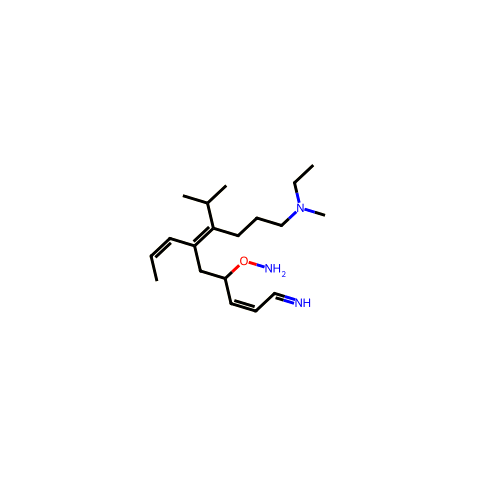 C/C=C\C(CC(/C=C\C=N)ON)=C(\CCCN(C)CC)C(C)C